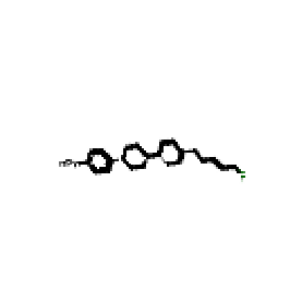 CCCc1ccc([C@H]2CC[C@H]([C@H]3CC[C@H](CCC=CCF)CC3)CC2)cc1